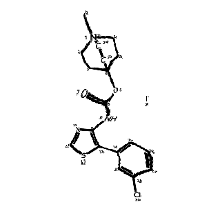 C[N+]12CCC(OC(=O)Nc3ncsc3-c3cccc(Cl)c3)(CC1)CC2.[I-]